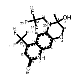 CC1(O)COc2cc3[nH]c(=O)cc(C(F)(F)F)c3cc2N1CC(F)(F)F